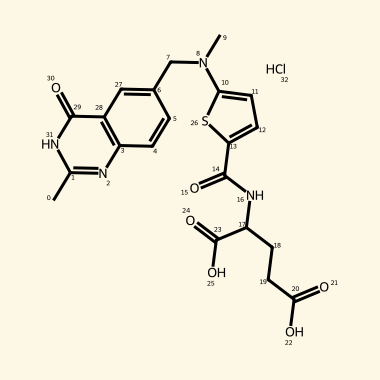 Cc1nc2ccc(CN(C)c3ccc(C(=O)NC(CCC(=O)O)C(=O)O)s3)cc2c(=O)[nH]1.Cl